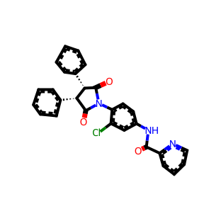 O=C(Nc1ccc(N2C(=O)[C@H](c3ccccc3)[C@H](c3ccccc3)C2=O)c(Cl)c1)c1ccccn1